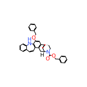 O=C(OCc1ccccc1)N1CC[C@@]23CCCCC2[C@@H]1Cc1c3cc(OCc2ccccc2)c2c1C=Cc1ccccc1N2